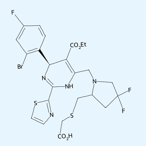 CCOC(=O)C1=C(CN2CC(F)(F)CC2CSCC(=O)O)NC(c2nccs2)=N[C@H]1c1ccc(F)cc1Br